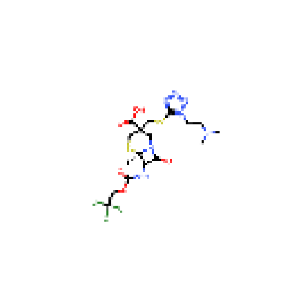 CN(C)CCn1nnnc1SCC1(C(=O)O)CS[C@@H]2C(NC(=O)OCC(Cl)(Cl)Cl)C(=O)N2C1